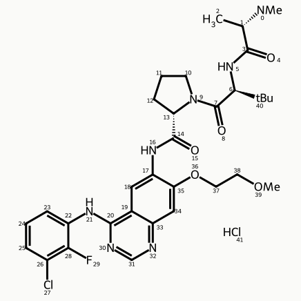 CN[C@@H](C)C(=O)N[C@H](C(=O)N1CCC[C@H]1C(=O)Nc1cc2c(Nc3cccc(Cl)c3F)ncnc2cc1OCCOC)C(C)(C)C.Cl